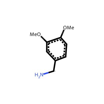 COc1ccc([CH]N)cc1OC